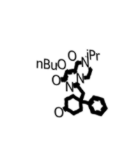 CCCCOc1c2n(c(CC3(c4ccccc4)CCC(=O)CC3)nc1=O)CCN(C(C)C)C2=O